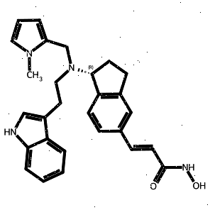 Cn1cccc1CN(CCc1c[nH]c2ccccc12)[C@@H]1CCc2cc(C=CC(=O)NO)ccc21